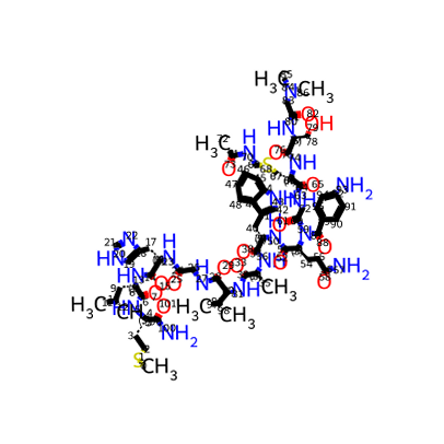 CSCC[C@H](NC(=O)[C@H](CC(C)C)NC(=O)[C@H](Cc1c[nH]cn1)NC(=O)CNC(=O)[C@@H](NC(=O)[C@H](C)NC(=O)[C@H](Cc1c[nH]c2ccccc12)NC(=O)[C@H](CCC(N)=O)N(C(=O)CNC(=O)[C@H](CSCNC(C)=O)NC(=O)[C@H](CO)NC(=O)CN(C)C)C(=O)c1ccc(N)cc1)C(C)C)C(N)=O